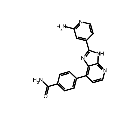 NC(=O)c1ccc(-c2ccnc3[nH]c(-c4ccnc(N)c4)nc23)cc1